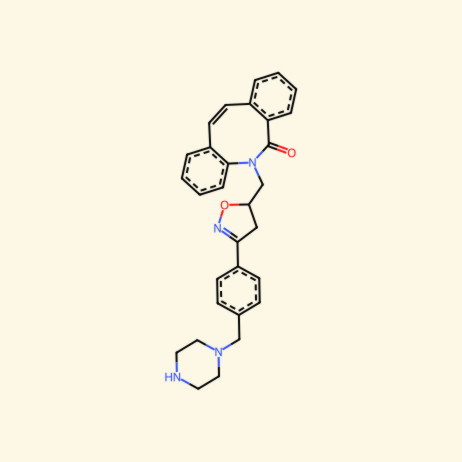 O=C1c2ccccc2/C=C\c2ccccc2N1CC1CC(c2ccc(CN3CCNCC3)cc2)=NO1